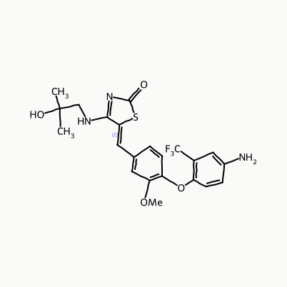 COc1cc(/C=C2\SC(=O)N=C2NCC(C)(C)O)ccc1Oc1ccc(N)cc1C(F)(F)F